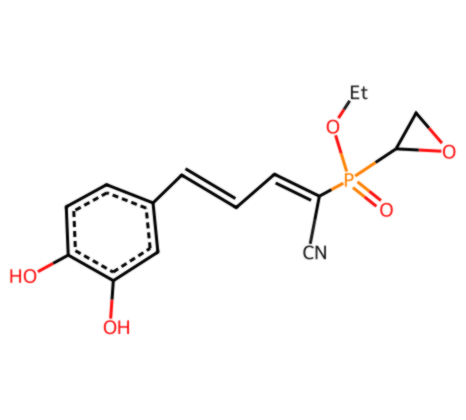 CCOP(=O)(/C(C#N)=C/C=C/c1ccc(O)c(O)c1)C1CO1